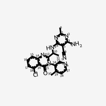 Cc1nc(N)c(C#N)c(NC(C)c2nc3cccc(Cl)c3c(=O)n2-c2cnccc2C)n1